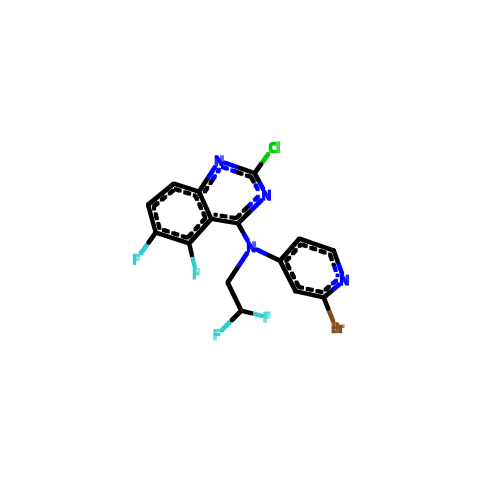 Fc1ccc2nc(Cl)nc(N(CC(F)F)c3ccnc(Br)c3)c2c1F